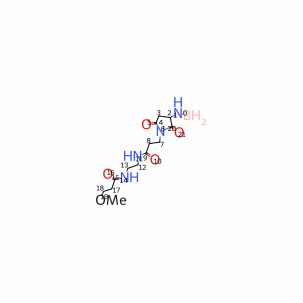 BNC1CC(=O)N(CCC(=O)NCCNC(=O)CCOC)C1=O